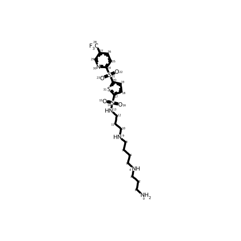 NCCCNCCCCNCCCNS(=O)(=O)c1ccc(S(=O)(=O)c2ccc(C(F)(F)F)cn2)s1